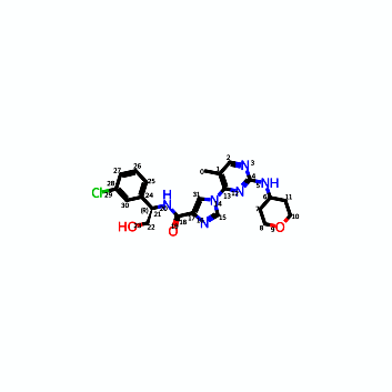 Cc1cnc(NC2CCOCC2)nc1-n1cnc(C(=O)N[C@@H](CO)c2cccc(Cl)c2)c1